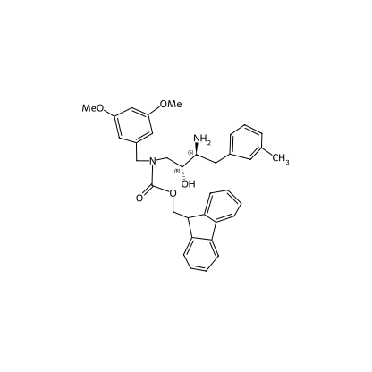 COc1cc(CN(C[C@@H](O)[C@@H](N)Cc2cccc(C)c2)C(=O)OCC2c3ccccc3-c3ccccc32)cc(OC)c1